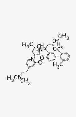 CCOC(=O)C[C@H](NC(=O)C(CC(C)C)n1ccc(CCN(C)C)cc1=O)c1cccc(-c2c(C)cccc2C)c1